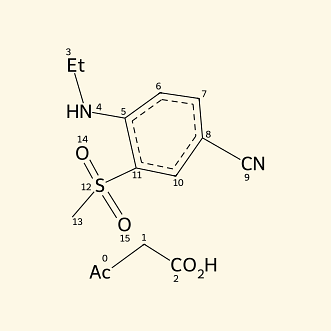 CC(=O)CC(=O)O.CCNc1ccc(C#N)cc1S(C)(=O)=O